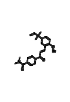 C=CC(C)(C)c1ccc(OC(C)C)c(C=CC(=O)c2ccc(C(=O)N(C)C)cc2)c1